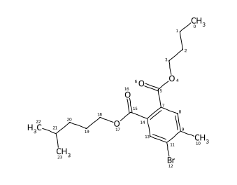 CCCCOC(=O)c1cc(C)c(Br)cc1C(=O)OCCCC(C)C